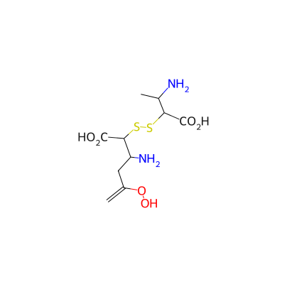 C=C(CC(N)C(SSC(C(=O)O)C(C)N)C(=O)O)OO